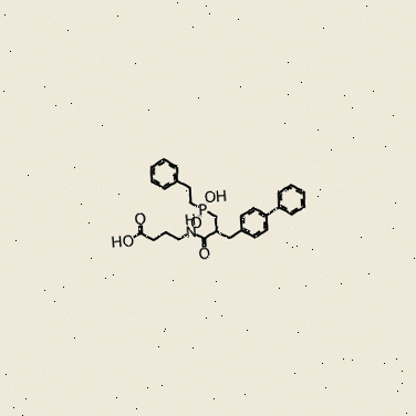 O=C(O)CCCNC(=O)C(Cc1ccc(-c2ccccc2)cc1)CP(=O)(O)CCc1ccccc1